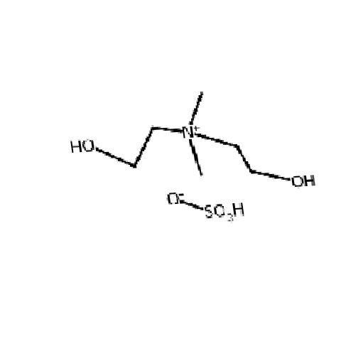 C[N+](C)(CCO)CCO.O=S(=O)([O-])O